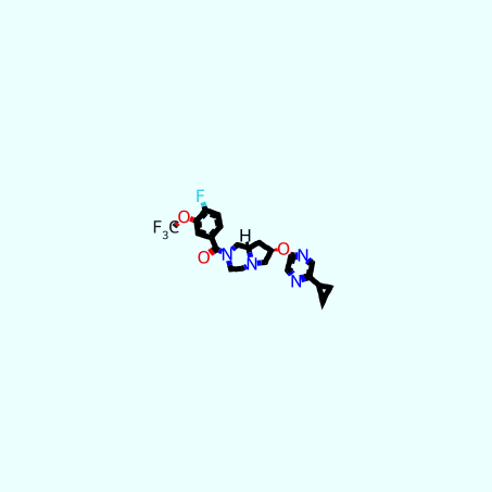 O=C(c1ccc(F)c(OC(F)(F)F)c1)N1CCN2C[C@H](Oc3cnc(C4CC4)cn3)C[C@H]2C1